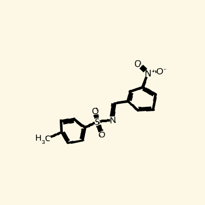 Cc1ccc(S(=O)(=O)N=Cc2cccc([N+](=O)[O-])c2)cc1